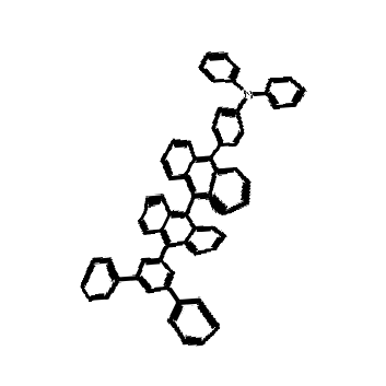 c1ccc(-c2cc(-c3ccccc3)cc(-c3c4ccccc4c(-c4c5ccccc5c(-c5ccc(N(c6ccccc6)c6ccccc6)cc5)c5ccccc45)c4ccccc34)c2)cc1